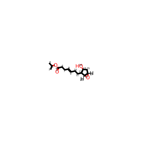 CC(C)OC(=O)CCC=CCCC1C(O)C[C@@H]2O[C@H]12